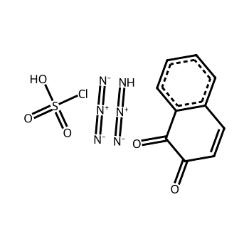 O=C1C=Cc2ccccc2C1=O.O=S(=O)(O)Cl.[N-]=[N+]=N.[N-]=[N+]=[N-]